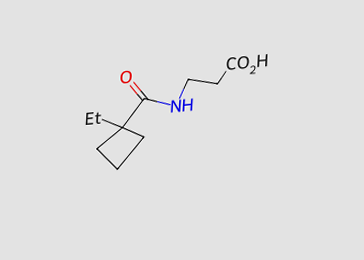 CCC1(C(=O)NCCC(=O)O)CCC1